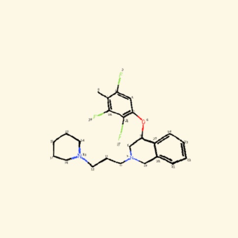 Cc1c(F)cc(OC2CN(CCCN3CCCCC3)Cc3ccccc32)c(F)c1F